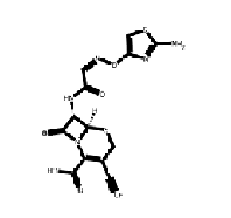 C#CC1=C(C(=O)O)N2C(=O)[C@@H](NC(=O)/C=N\Oc3csc(N)n3)[C@H]2SC1